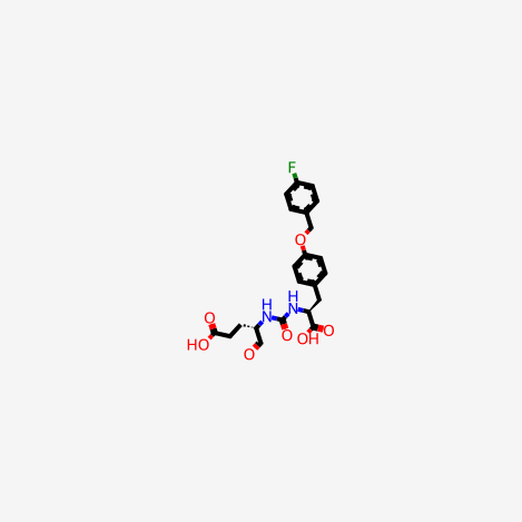 O=C[C@H](CCC(=O)O)NC(=O)N[C@@H](Cc1ccc(OCc2ccc(F)cc2)cc1)C(=O)O